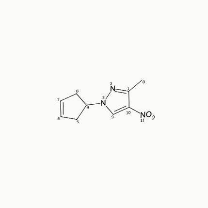 Cc1nn(C2CC=CC2)cc1[N+](=O)[O-]